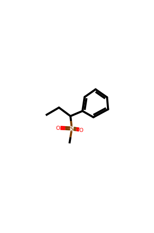 CCC(c1ccccc1)S(C)(=O)=O